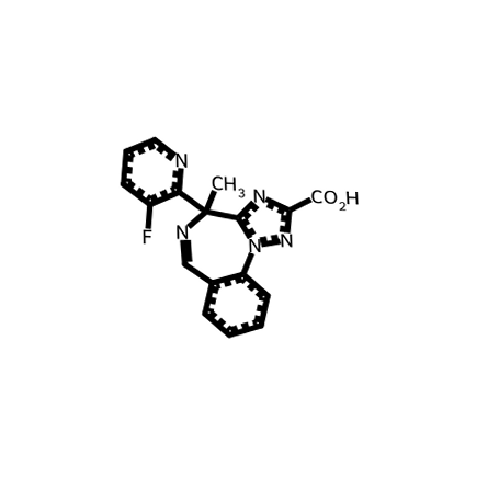 CC1(c2ncccc2F)N=Cc2ccccc2-n2nc(C(=O)O)nc21